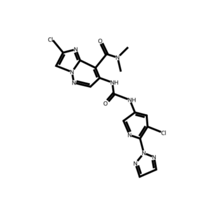 CN(C)C(=O)c1c(NC(=O)Nc2cnc(-n3nccn3)c(Cl)c2)cnn2cc(Cl)nc12